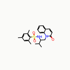 Cc1cc(C)c(S(=O)(=O)NC(Cn2c(=O)ccc3ccccc32)C(C)C)c(C)c1